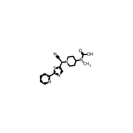 CN(C(=O)O)C1CCN(C(C#N)c2cnc(-c3ccccn3)s2)CC1